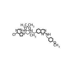 COc1ccc(CNc2ncc3ccc(CC[C@@]4(C)C[C@@H](n5ccc6c(Cl)ncnc65)[C@@H]5OC(C)(C)O[C@@H]54)cc3n2)cc1